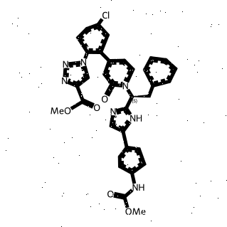 COC(=O)Nc1ccc(-c2cnc([C@H](Cc3ccccc3)n3ccc(-c4cc(Cl)ccc4-n4cc(C(=O)OC)nn4)cc3=O)[nH]2)cc1